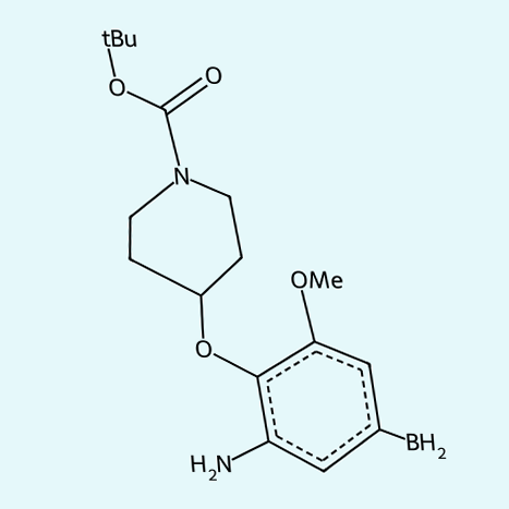 Bc1cc(N)c(OC2CCN(C(=O)OC(C)(C)C)CC2)c(OC)c1